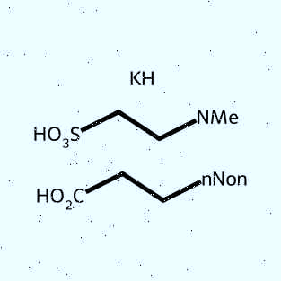 CCCCCCCCCCCC(=O)O.CNCCS(=O)(=O)O.[KH]